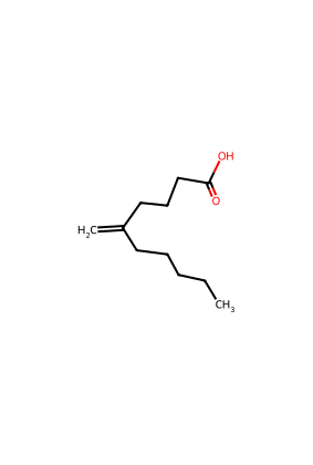 C=C(CCCCC)CCCC(=O)O